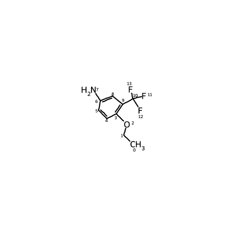 CCOc1ccc(N)cc1C(F)(F)F